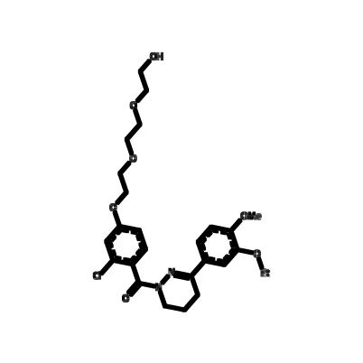 CCOc1cc(C2=NN(C(=O)c3ccc(OCCOCCOCCO)cc3Cl)CCC2)ccc1OC